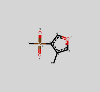 Cc1cocc1S(C)(=O)=O